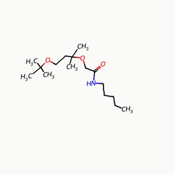 CCCCCNC(=O)COC(C)(C)CCOC(C)(C)C